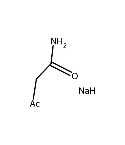 CC(=O)CC(N)=O.[NaH]